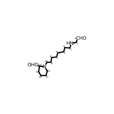 O=CCNCCCCCCCCN1CCCCC1C=O